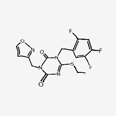 CCSc1nc(=O)n(Cc2ccon2)c(=O)n1Cc1cc(F)c(F)cc1F